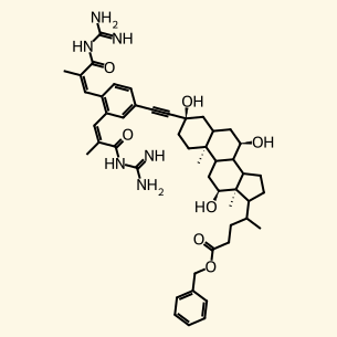 CC(=Cc1ccc(C#C[C@@]2(O)CC[C@@]3(C)C(C[C@@H](O)C4C3C[C@H](O)[C@]3(C)C(C(C)CCC(=O)OCc5ccccc5)CCC43)C2)cc1C=C(C)C(=O)NC(=N)N)C(=O)NC(=N)N